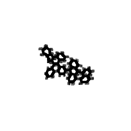 c1ccc(-c2c(-c3cccc(-c4c5ccccc5c(-c5cccc6ccccc56)c5ccccc45)c3)c3ccccc3c3c2sc2ccccc23)cc1